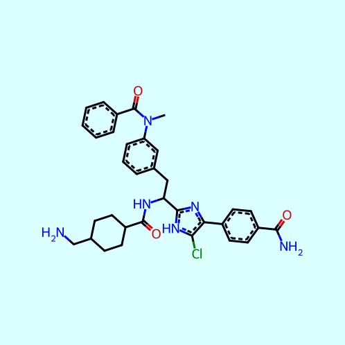 CN(C(=O)c1ccccc1)c1cccc(CC(NC(=O)C2CCC(CN)CC2)c2nc(-c3ccc(C(N)=O)cc3)c(Cl)[nH]2)c1